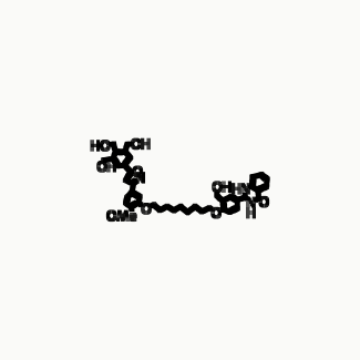 COc1ccc(-c2cc(-c3cc(CO)c(CO)c(CO)c3)on2)cc1OCCCCCCCCCOc1ccc(C2NC(=O)c3ccccc3N2)cc1CO